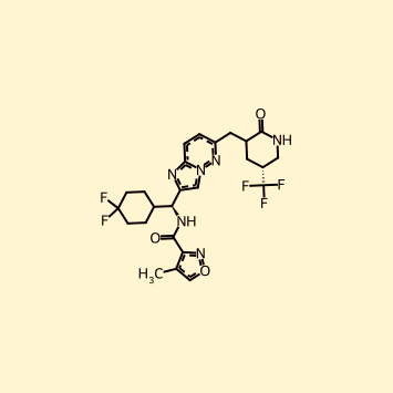 Cc1conc1C(=O)N[C@H](c1cn2nc(CC3C[C@@H](C(F)(F)F)CNC3=O)ccc2n1)C1CCC(F)(F)CC1